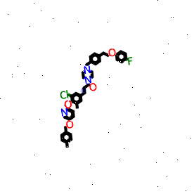 Cc1ccc(COc2ccc(Oc3c(C)cc(/C=C/C(=O)N4CCN(Cc5ccc(CCOc6ccc(F)cc6)cc5)CC4)cc3Cl)nc2)cc1